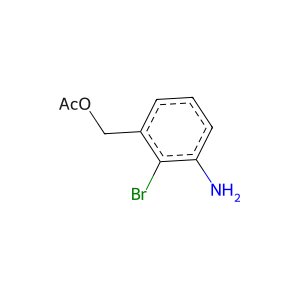 CC(=O)OCc1cccc(N)c1Br